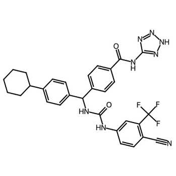 N#Cc1ccc(NC(=O)NC(c2ccc(C(=O)Nc3nn[nH]n3)cc2)c2ccc(C3CCCCC3)cc2)cc1C(F)(F)F